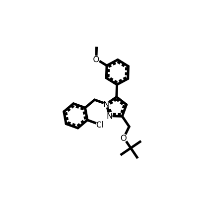 COc1cccc(-c2cc(COC(C)(C)C)nn2Cc2ccccc2Cl)c1